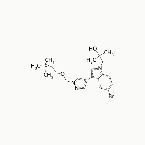 CC(C)(O)Cn1cc(-c2cnn(COCCS(C)(C)C)c2)c2cc(Br)ccc21